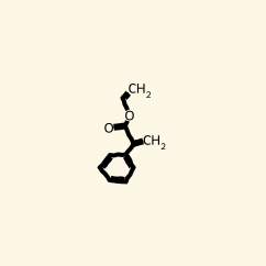 C=COC(=O)C(=C)c1ccccc1